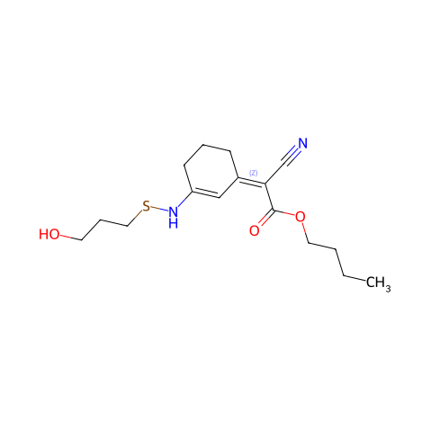 CCCCOC(=O)/C(C#N)=C1\C=C(NSCCCO)CCC1